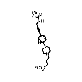 CCOC(=O)CCCN1CCN(c2ccc(C#CCNC(=O)OC(C)(C)C)cn2)CC1